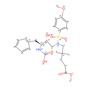 COC(=O)CCC(C)(C)CN(C[C@@H](O)[C@H](Cc1ccccc1)NC(=O)O)S(=O)(=O)c1ccc(OC)cc1